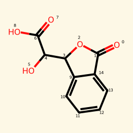 O=C1OC(C(O)C(=O)O)c2ccccc21